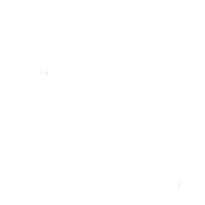 Fc1ccc(C2CCC3(C=CCCO3)CC2)cc1